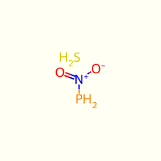 O=[N+]([O-])P.S